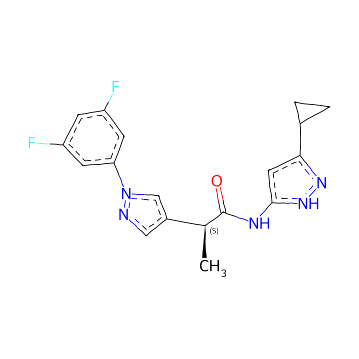 C[C@H](C(=O)Nc1cc(C2CC2)n[nH]1)c1cnn(-c2cc(F)cc(F)c2)c1